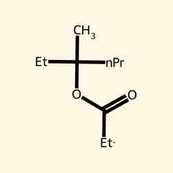 C[CH]C(=O)OC(C)(CC)CCC